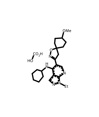 CCn1ncc2c(NC3CCCCC3)c(C3=NOC4(CCC(OC)CC4)C3)cnc21.O=C(O)O